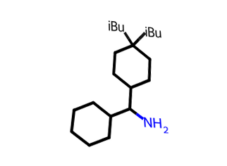 CCC(C)C1(C(C)CC)CCC(C(N)C2CCCCC2)CC1